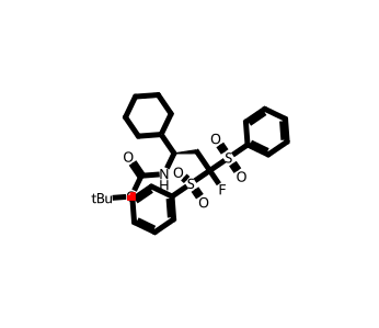 CC(C)(C)OC(=O)N[C@H](CC(F)(S(=O)(=O)c1ccccc1)S(=O)(=O)c1ccccc1)C1CCCCC1